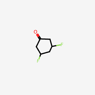 O=C1CC(F)CC(F)C1